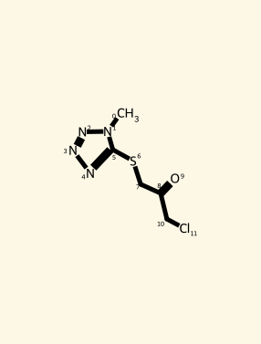 Cn1nnnc1SCC(=O)CCl